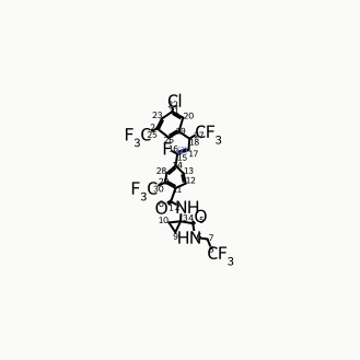 O=C(NC1(C(=O)NCC(F)(F)F)CC1)c1ccc(/C(F)=C/C(c2cc(Cl)cc(C(F)(F)F)c2)C(F)(F)F)cc1C(F)(F)F